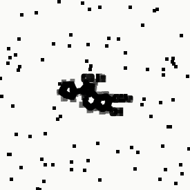 CCOC(=O)c1cc2n(c1-c1ccccc1)CCc1cc(O)c(OC)cc1-2